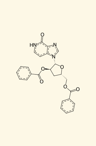 O=C(OC[C@@H]1C[C@@H](OC(=O)c2ccccc2)[C@H](n2cnc3c(=O)[nH]ccc32)O1)c1ccccc1